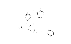 O=C(O)CC(NC(=O)SCCc1ccccc1)C(=O)Cn1nnc(Sc2ccccc2Cl)n1